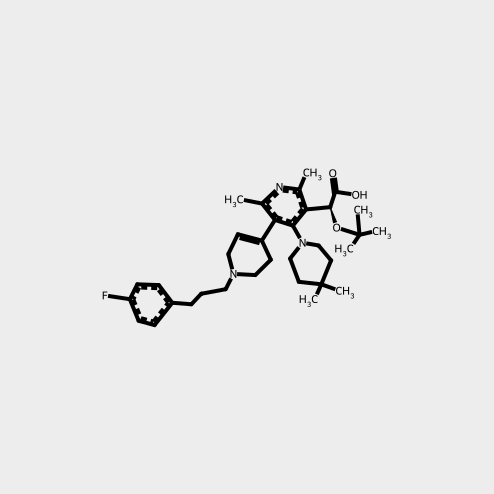 Cc1nc(C)c([C@H](OC(C)(C)C)C(=O)O)c(N2CCC(C)(C)CC2)c1C1=CCN(CCCc2ccc(F)cc2)CC1